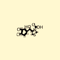 O=C(O)N1CSC[C@H]1[C@@H](O)c1ccc(Cl)c(Cl)c1